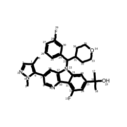 Cc1cnn(C)c1-c1cnc2c3c(F)cc(C(C)(C)O)cc3n(C(c3cccc(F)c3)C3CCOCC3)c2c1